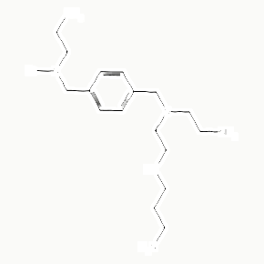 CCN(CCN)Cc1ccc(CN(CCN)CCNCCCN)cc1